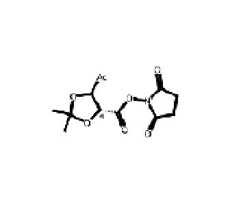 CC(=O)C1OC(C)(C)O[C@H]1C(=O)ON1C(=O)CCC1=O